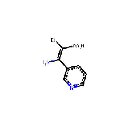 CCC(C(=O)O)=C(N)c1cccnc1